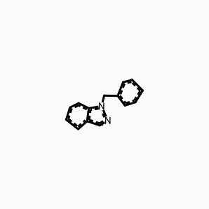 [c]1nn(Cc2ccccc2)c2ccccc12